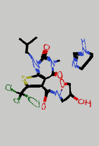 CC(C)Cn1c(=O)n(C)c(=O)c2c(C(=O)N3CC(O)CO3)c(C(Cl)(Cl)Cl)sc21.c1c[nH]cn1